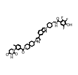 Cc1ccc(C(=O)N2CCC3(CCC(n4cc(-c5ccc6cn([C@H]7CC[C@H](CNC(=O)c8cc(F)c(O)c(F)c8F)CC7)nc6c5)cn4)CC3)CC2)cc1N1CCC(=O)NC1=O